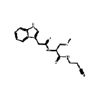 CSCC(NC(=O)Cc1c[nH]c2ccccc12)C(=O)NCCC#N